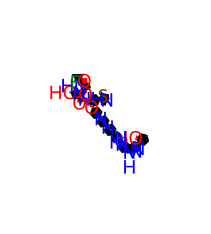 Cc1ncsc1-c1ccc(CNC(=O)[C@@H]2C[C@@H](O)CN2C(=O)[C@@H](NC(=O)C2(F)CC2)C(C)(C)C)c(O[C@H]2CC[C@@H](N3CCC(N4CCC(c5cnc(N6CCc7[nH]c8nnc(-c9ccccc9O)cc8c7[C@@H]6C)nc5)CC4)CC3)CC2)c1